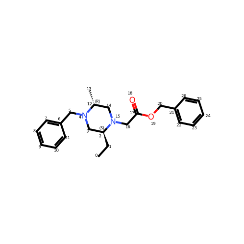 CC[C@H]1CN(Cc2ccccc2)[C@H](C)CN1CC(=O)OCc1ccccc1